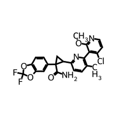 COc1nccc(Cl)c1-c1nc(C2CC2(C(N)=O)c2ccc3c(c2)OC(F)(F)O3)ccc1C